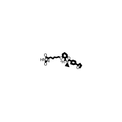 [2H]C(c1ccccc1OCCCCCC1=NC(=O)NC1=O)N(C(=O)c1ccc(-c2ccco2)cc1)C1CC1